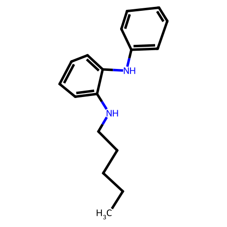 CCCCCNc1ccccc1Nc1ccccc1